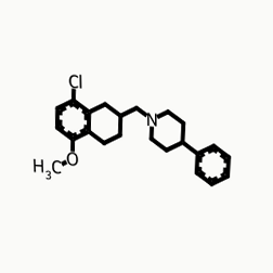 COc1ccc(Cl)c2c1CCC(CN1CCC(c3ccccc3)CC1)C2